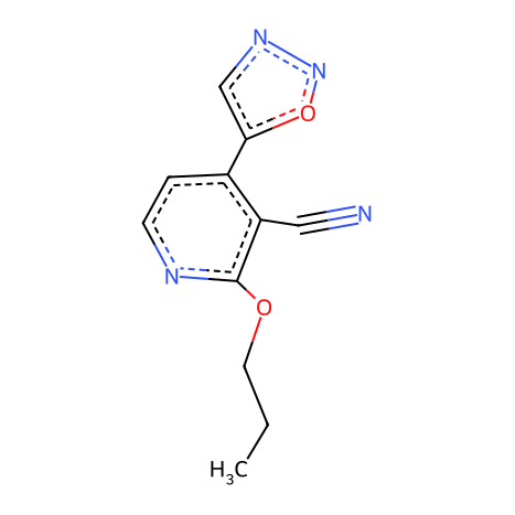 CCCOc1nccc(-c2cnno2)c1C#N